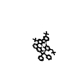 CC(C)(C)Cc1cc2c3c(c1)-n1c4ccc(C(C)(C)C)cc4c4cc(C(C)(C)C)c5c(c41)B3c1c3c-5cccc3cc3c(-c4ccccc4)c(-c4ccccc4)n-2c13